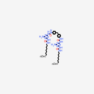 CCCCCCCCCCCCCCCCCCNC(=O)Nc1nc(N)nc(NC(=O)Nc2ccc(Cc3ccc(NC(=O)Nc4nc(N)nc(NC(=O)NCCCCCCCCCCCCCCCCCC)n4)cc3)cc2)n1